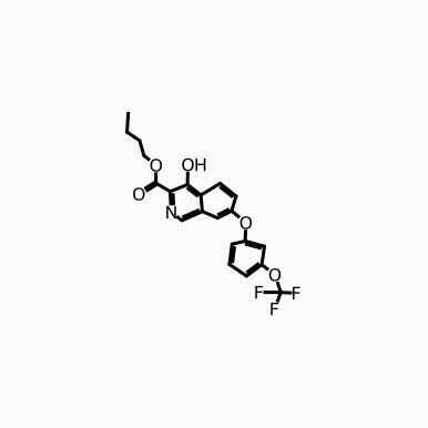 CCCCOC(=O)c1ncc2cc(Oc3cccc(OC(F)(F)F)c3)ccc2c1O